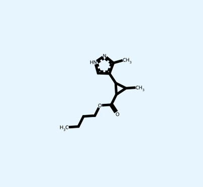 CCCCOC(=O)C1C(C)C1c1c[nH]nc1C